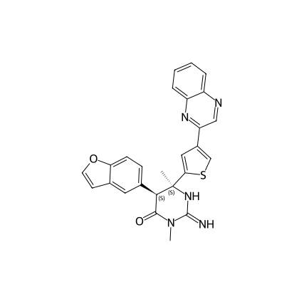 CN1C(=N)N[C@](C)(c2cc(-c3cnc4ccccc4n3)cs2)[C@H](c2ccc3occc3c2)C1=O